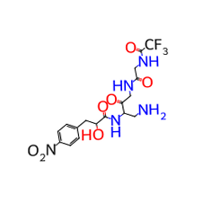 NCC(NC(=O)C(O)Cc1ccc([N+](=O)[O-])cc1)C(=O)CNC(=O)CNC(=O)C(F)(F)F